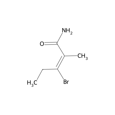 CC/C(Br)=C(/C)C(N)=O